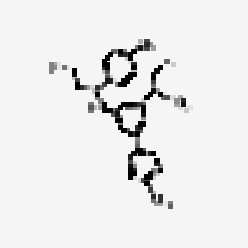 CC(C)CCC(Nc1cc(-c2ccc(C(F)(F)F)cc2)cc(C(CC(C)C)C(=O)O)c1)c1ccc(C(F)(F)F)cc1